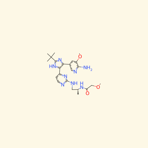 COCC(=O)N[C@@H](C)CNc1nccc(-c2[nH]c(C(C)(C)C)nc2-c2cnc(N)c(OC)c2)n1